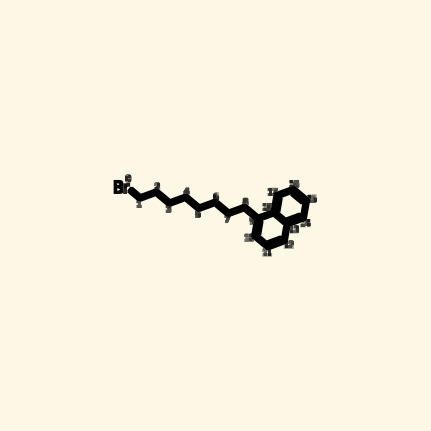 BrCCCCCCCCc1cccc2ccccc12